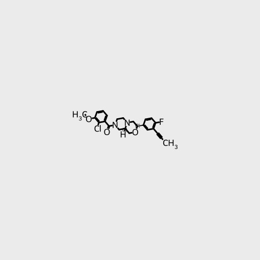 CC#Cc1cc([C@@H]2CN3CCN(C(=O)c4cccc(OC)c4Cl)C[C@H]3CO2)ccc1F